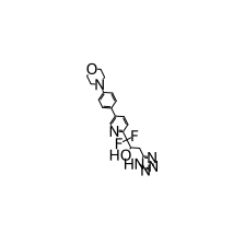 OC(Cc1nnn[nH]1)C(F)(F)c1ccc(-c2ccc(N3CCOCC3)cc2)cn1